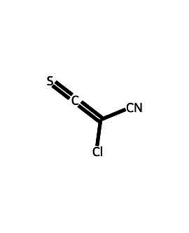 N#CC(Cl)=C=S